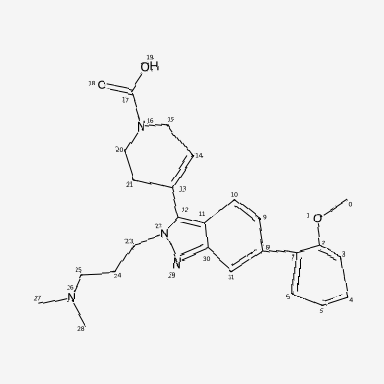 COc1ccccc1-c1ccc2c(C3=CCN(C(=O)O)CC3)n(CCCN(C)C)nc2c1